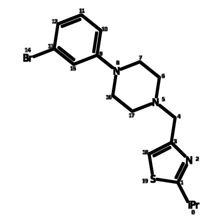 CC(C)c1nc(CN2CCN(c3cccc(Br)c3)CC2)cs1